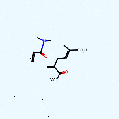 C=C(CC=C(C)C(=O)O)C(=O)OC.C=CC(=O)N(C)C